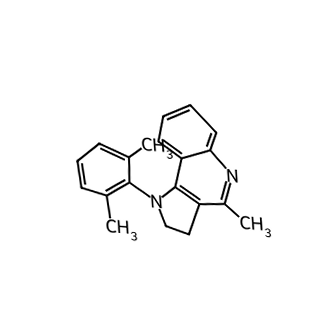 Cc1cccc(C)c1N1CCc2c(C)nc3ccccc3c21